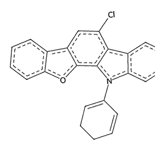 Clc1cc2c3ccccc3oc2c2c1c1ccccc1n2C1=CCCC=C1